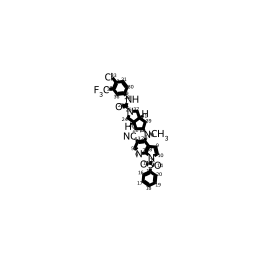 CN(c1c(C#N)cnc2c1ccn2S(=O)(=O)c1ccccc1)[C@H]1C[C@@H]2CN(C(=O)Nc3ccc(Cl)c(C(F)(F)F)c3)C[C@@H]2C1